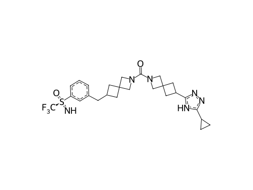 N=[S@](=O)(c1cccc(CC2CC3(C2)CN(C(=O)N2CC4(CC(c5nnc(C6CC6)[nH]5)C4)C2)C3)c1)C(F)(F)F